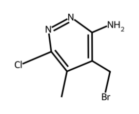 Cc1c(Cl)nnc(N)c1CBr